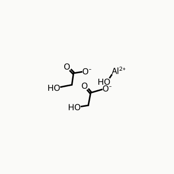 O=C([O-])CO.O=C([O-])CO.[OH][Al+2]